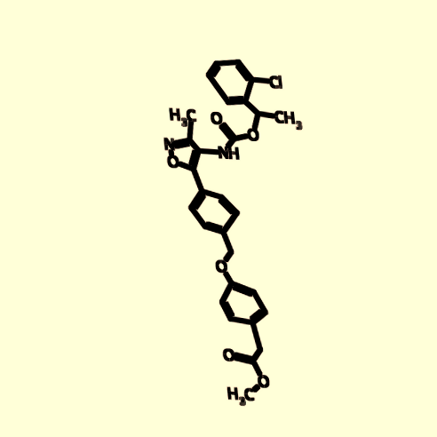 COC(=O)Cc1ccc(OCc2ccc(-c3onc(C)c3NC(=O)OC(C)c3ccccc3Cl)cc2)cc1